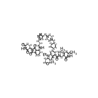 CCN(c1cc(-c2ccc(CN3CCN(Cc4cn(CCCNc5cccc6c5C(=O)N(C5CCC(=O)NC5=O)C6=O)nn4)CC3)cc2)cc(C(=O)NCc2c(C)cc(C)[nH]c2=O)c1C)C1CCOCC1